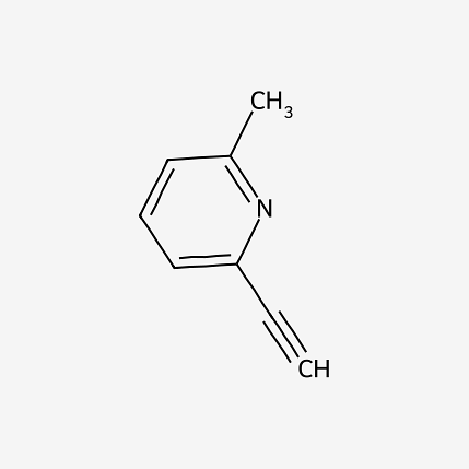 C#Cc1cccc(C)n1